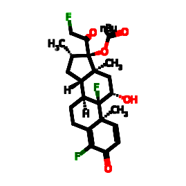 CCCCC(=O)O[C@]1(C(=O)CF)[C@@H](C)C[C@H]2[C@@H]3CCC4=C(F)C(=O)C=C[C@]4(C)[C@@]3(F)[C@@H](O)C[C@@]21C